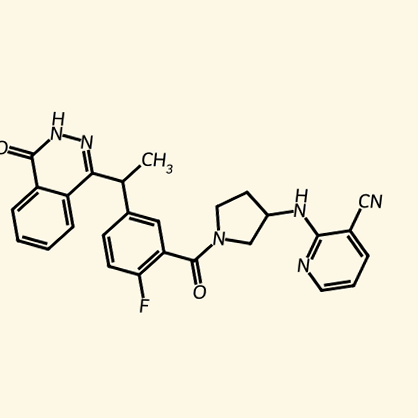 CC(c1ccc(F)c(C(=O)N2CCC(Nc3ncccc3C#N)C2)c1)c1n[nH]c(=O)c2ccccc12